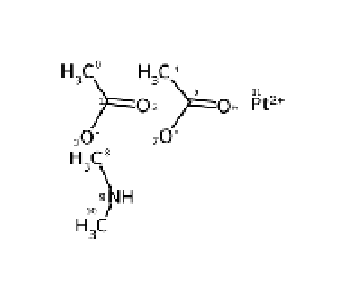 CC(=O)[O-].CC(=O)[O-].CNC.[Pt+2]